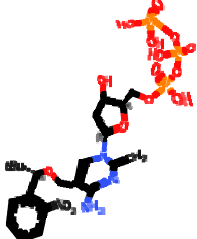 C=C1N=C(N)C(CO[C@H](c2ccccc2[N+](=O)[O-])C(C)(C)C)=CN1[C@H]1CC(O)[C@@H](COP(=O)(O)OP(=O)(O)OP(=O)(O)O)O1